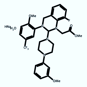 COC(=O)CN1c2c(F)cccc2CN(c2cc(C(F)(F)F)ccc2OC)C1N1CCN(c2cccc(OC)c2)CC1.O.[NaH]